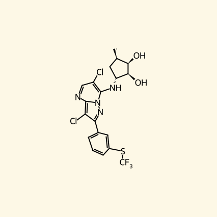 [CH2][C@@H]1C[C@@H](Nc2c(Cl)cnc3c(Cl)c(-c4cccc(SC(F)(F)F)c4)nn23)[C@H](O)[C@@H]1O